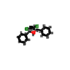 [Cl][Mg][Cl].c1ccc(COCc2ccccc2)cc1